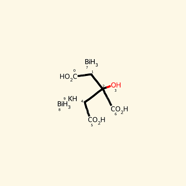 O=C(O)CC(O)(CC(=O)O)C(=O)O.[BiH3].[BiH3].[KH]